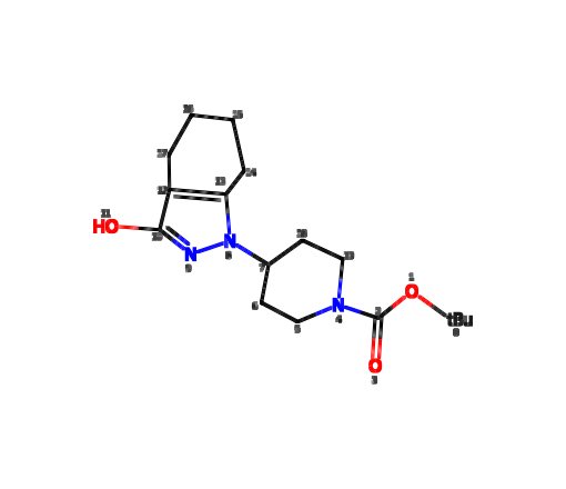 CC(C)(C)OC(=O)N1CCC(n2nc(O)c3c2CCCC3)CC1